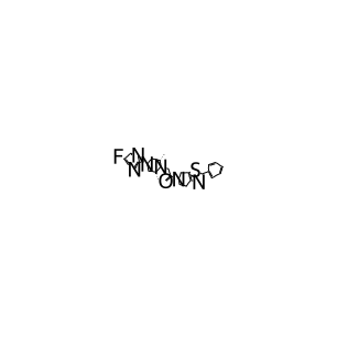 C[C@@H]1CN(c2ncc(F)cn2)C[C@H](C)N1CC(=O)N1CCc2nc(-c3ccccc3)sc2C1